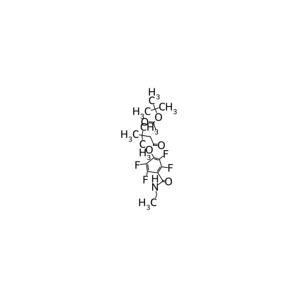 CCNC(=O)c1c(F)c(F)c(OC(=O)[C@@H](CC(=O)OC(C)(C)C)C(C)(C)C)c(F)c1F